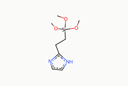 CO[Si](CCc1ncc[nH]1)(OC)OC